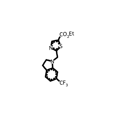 CCOC(=O)c1cnc(CN2CCc3ccc(C(F)(F)F)cc32)s1